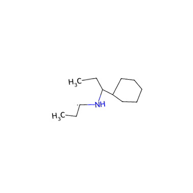 CC[CH]NC(CC)C1CCCCC1